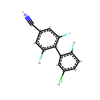 N#Cc1cc(F)c(-c2cc(Cl)[c]cc2F)c(F)c1